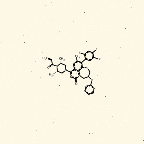 C=CC(=O)N1[C@H](C)CN(c2nc(=O)n3c4c(c(-c5cc(Br)c(F)cc5F)c(C(F)(F)F)cc24)SC[C@@H](Oc2cnccn2)C3)C[C@@H]1C